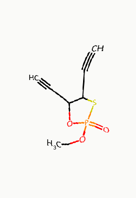 C#CC1OP(=O)(OC)SC1C#C